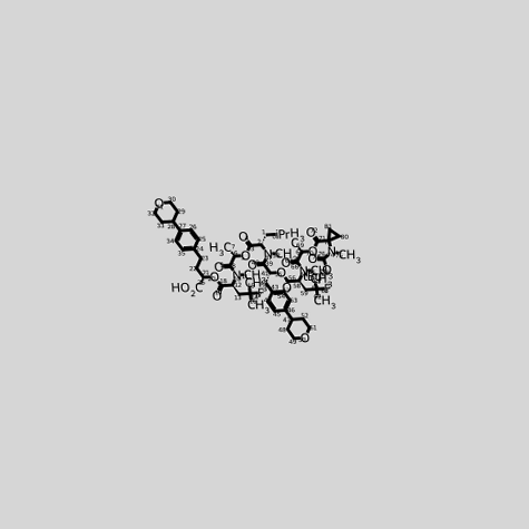 CC(C)C[C@@H](C(=O)O[C@H](C)C(=O)N(C)[C@@H](CC(C)(C)F)C(=O)O[C@H](CCc1ccc(C2CCOCC2)cc1)C(=O)O)N(C)C(=O)[C@@H](Cc1ccc(C2CCOCC2)cc1)OC(=O)[C@H](CC(C)(C)F)N(C)C(=O)[C@@H](C)OC(=O)C1(N(C)C(=O)OC(C)(C)C)CC1